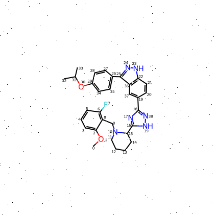 COc1cccc(F)c1CN1CCCCC1c1nc(-c2ccc3[nH]nc(-c4ccc(OC(C)C)cc4)c3c2)n[nH]1